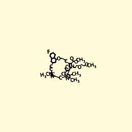 COCCOCCn1c(C(=O)OC)c2c3ccc(Cl)c(c31)-c1c(C)c(C)nn1CCCc1cc(n(C)n1)CCc1cc(c3ccc(F)cc3c1)OCCC2